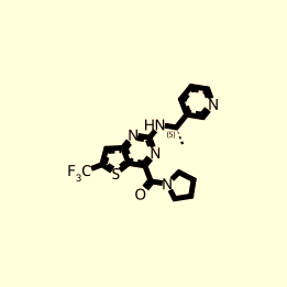 C[C@H](Nc1nc(C(=O)N2CCCC2)c2sc(C(F)(F)F)cc2n1)c1cccnc1